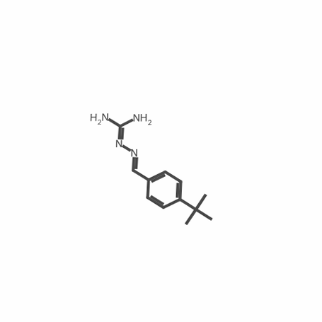 CC(C)(C)c1ccc(C=NN=C(N)N)cc1